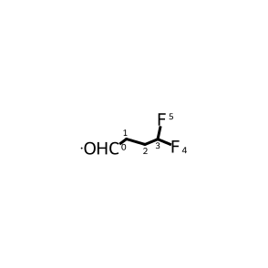 O=[C]CCC(F)F